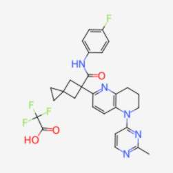 Cc1nccc(N2CCCc3nc(C4(C(=O)Nc5ccc(F)cc5)CC5(CC5)C4)ccc32)n1.O=C(O)C(F)(F)F